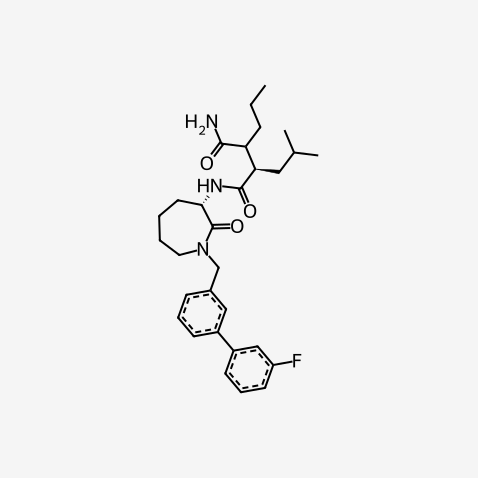 CCCC(C(N)=O)[C@@H](CC(C)C)C(=O)N[C@H]1CCCCN(Cc2cccc(-c3cccc(F)c3)c2)C1=O